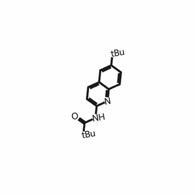 CC(C)(C)C(=O)Nc1ccc2cc(C(C)(C)C)ccc2n1